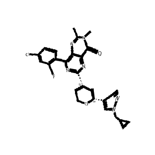 Cc1nc2c(-c3ccc(Cl)cc3F)nc([C@H]3CCO[C@@H](c4cnn(C5CC5)c4)C3)nc2c(=O)n1C